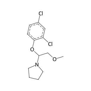 COCC(Oc1ccc(Cl)cc1Cl)N1CCCC1